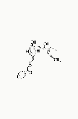 CC#CC[C@H](C)[C@H](O)C=C[C@@H]1[C@H]2CC(=CCOCC(=O)N3CCOCC3)C[C@H]2C[C@H]1O